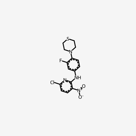 O=[N+]([O-])c1ccc(Cl)nc1Nc1ccc(N2CCSCC2)c(F)c1